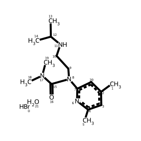 Br.Cc1cc(C)nc(N(CCNC(C)C)C(=O)N(C)C)c1.O